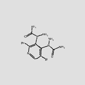 NC(=O)N(N)c1c(Br)cnc(Br)c1N(N)C(N)=O